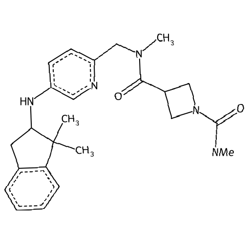 CNC(=O)N1CC(C(=O)N(C)Cc2ccc(NC3Cc4ccccc4C3(C)C)cn2)C1